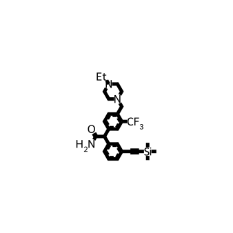 CCN1CCN(Cc2ccc(C(C(N)=O)c3cccc(C#C[Si](C)(C)C)c3)cc2C(F)(F)F)CC1